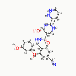 COc1ccc(C(NC(=O)c2cnc(-c3cccnn3)nc2O)c2ccc(C#N)cc2)c(OC)c1